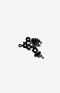 CC(C)(C)[Si](C)(C)OC1CCCC1c1nc(Cl)cc2cnc(NC3CCN(S(C)(=O)=O)CC3)nc12